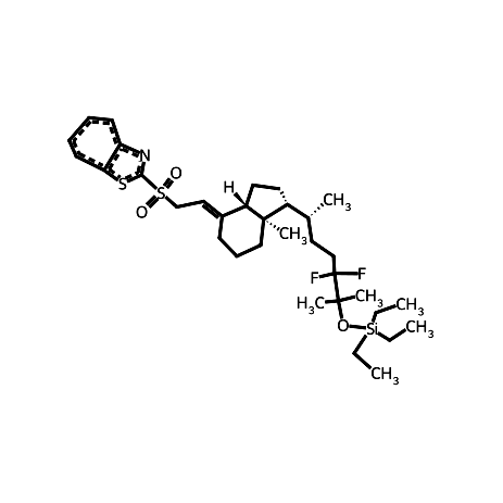 CC[Si](CC)(CC)OC(C)(C)C(F)(F)CC[C@@H](C)[C@H]1CC[C@H]2C(=CCS(=O)(=O)c3nc4ccccc4s3)CCC[C@]12C